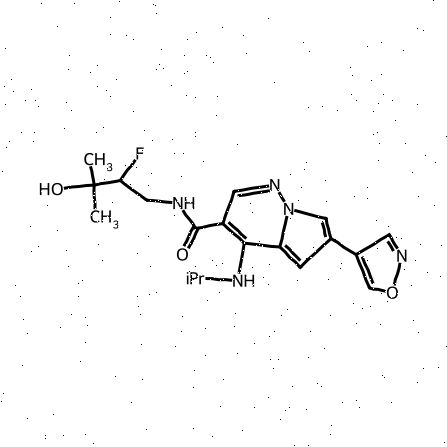 CC(C)Nc1c(C(=O)NCC(F)C(C)(C)O)cnn2cc(-c3cnoc3)cc12